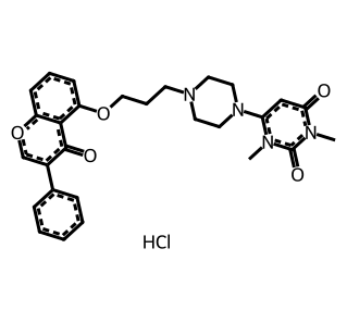 Cl.Cn1c(N2CCN(CCCOc3cccc4occ(-c5ccccc5)c(=O)c34)CC2)cc(=O)n(C)c1=O